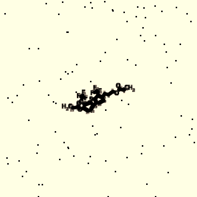 C=CC(=O)OCCCc1ccc2c(sc3c(OC(F)(F)F)c(OC(=O)C=C)ccc32)c1C(F)(F)F